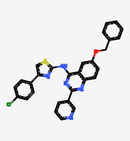 Clc1ccc(-c2csc(Nc3nc(-c4cccnc4)nc4ccc(OCc5ccccc5)cc34)n2)cc1